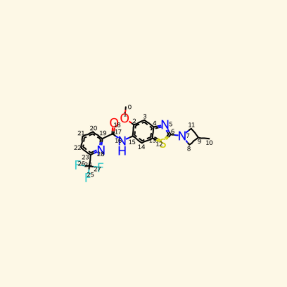 COc1cc2nc(N3CC(C)C3)sc2cc1NC(=O)c1cccc(C(F)(F)F)n1